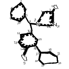 Clc1cn(C(c2ccccc2)c2ccc(Cl)c(C3CCCCC3)c2)cn1